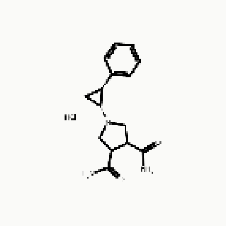 Cl.NC(=O)C1CN([C@@H]2C[C@H]2c2ccccc2)CC1C(N)=O